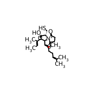 CC=C(C)CC(C=C(C)CCC=C(C)C)[N+]1([C@@H](CS)C(=O)O)C(=O)CCC1=O